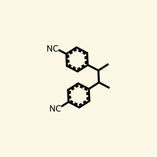 CC(c1ccc(C#N)cc1)C(C)c1ccc(C#N)cc1